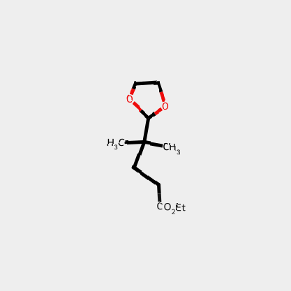 CCOC(=O)CCC(C)(C)C1OCCO1